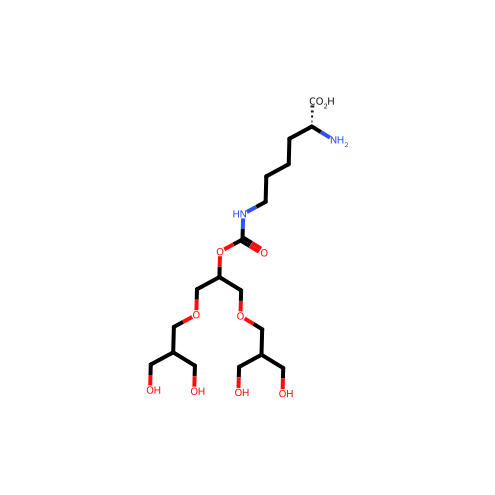 N[C@H](CCCCNC(=O)OC(COCC(CO)CO)COCC(CO)CO)C(=O)O